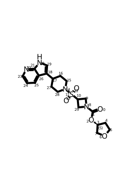 O=C(O[C@H]1CCOC1)N1CC(S(=O)(=O)N2CCC(c3c[nH]c4ncccc34)CC2)C1